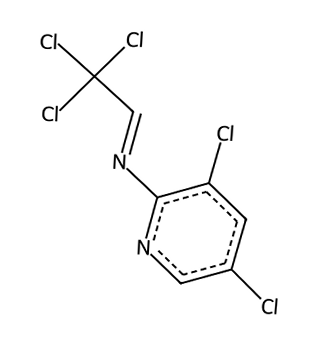 Clc1cnc(N=CC(Cl)(Cl)Cl)c(Cl)c1